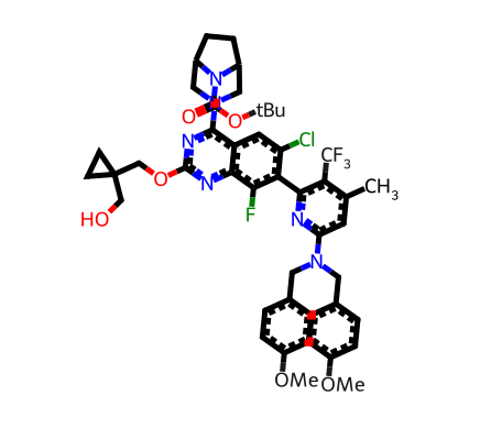 COc1ccc(CN(Cc2ccc(OC)cc2)c2cc(C)c(C(F)(F)F)c(-c3c(Cl)cc4c(N5CC6CCC(C5)N6C(=O)OC(C)(C)C)nc(OCC5(CO)CC5)nc4c3F)n2)cc1